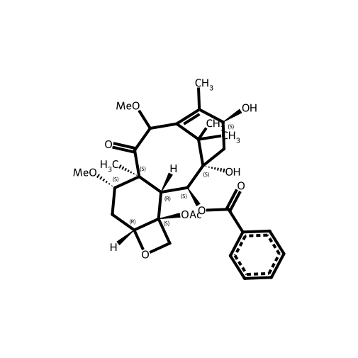 COC1C(=O)[C@]2(C)[C@@H](OC)C[C@H]3OC[C@@]3(OC(C)=O)[C@H]2[C@H](OC(=O)c2ccccc2)[C@]2(O)C[C@H](O)C(C)=C1C2(C)C